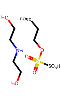 CCCCCCCCCCCCOS(=O)(=O)S(=O)(=O)O.OCCNCCO